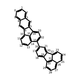 c1ccc2cc3c(cc2c1)-c1cccc2c(-c4ccc5c(c4)-c4cccc6cccc-5c46)ccc-3c12